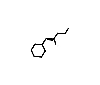 CCCC(P)=CC1CCCCC1